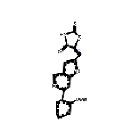 COc1ccccc1-c1cc2oc(/C=C3/SC(=S)NC3=O)cc2cn1